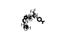 CC(C)C1CCC(n2cc(NC(=O)n3ccc4ccc(N5C[C@@H]6C[C@H]5CO6)nc43)c(C(F)F)n2)CC1